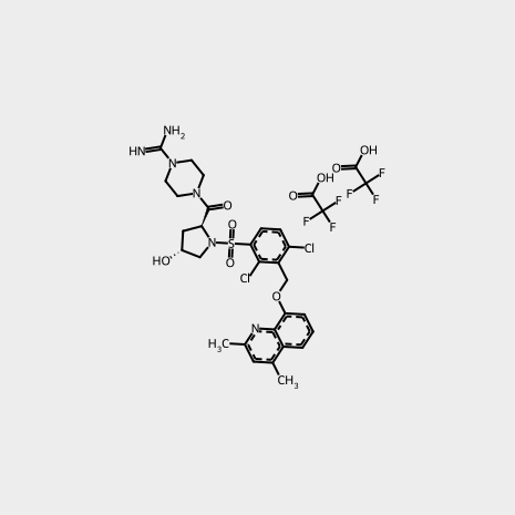 Cc1cc(C)c2cccc(OCc3c(Cl)ccc(S(=O)(=O)N4C[C@H](O)C[C@H]4C(=O)N4CCN(C(=N)N)CC4)c3Cl)c2n1.O=C(O)C(F)(F)F.O=C(O)C(F)(F)F